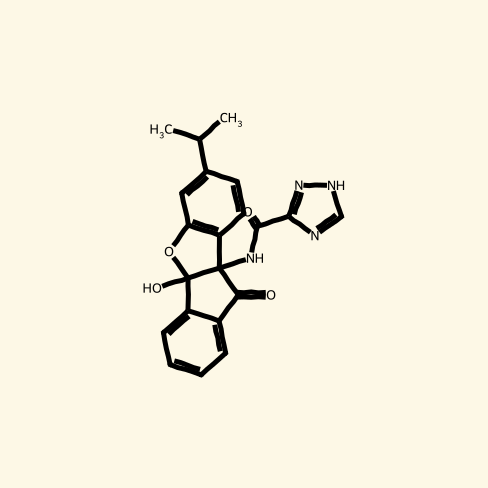 CC(C)c1ccc2c(c1)OC1(O)c3ccccc3C(=O)C21NC(=O)c1nc[nH]n1